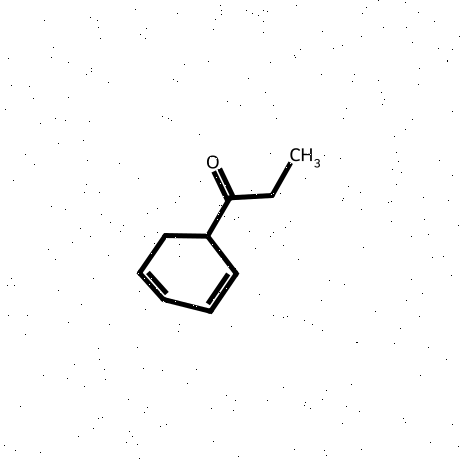 CCC(=O)C1C=CC=CC1